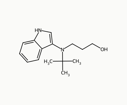 CC(C)(C)N(CCCO)c1c[nH]c2ccccc12